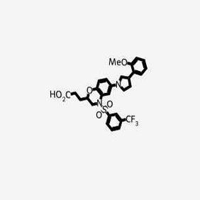 COc1ccccc1C1CCN(c2ccc3c(c2)N(S(=O)(=O)c2cccc(C(F)(F)F)c2)CC(CCC(=O)O)O3)C1